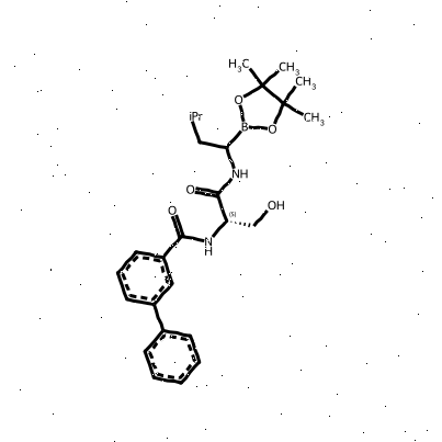 CC(C)CC(NC(=O)[C@H](CO)NC(=O)c1cccc(-c2ccccc2)c1)B1OC(C)(C)C(C)(C)O1